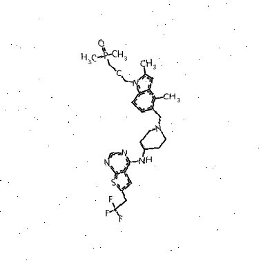 Cc1c(CN2CCC(Nc3ncnc4sc(CC(F)(F)F)cc34)CC2)ccc2c1cc(C)n2CCCP(C)(C)=O